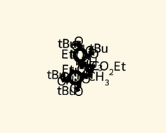 CCOC(=O)c1cc(N(C)C(=O)CN2CCN(CC)CCN(CC(=O)OC(C)(C)C)CCN(CC(=O)OC(C)(C)C)CC2)cc(N(C)C(=O)CN2CCN(CC)CCN(CC(=O)OC(C)(C)C)CCN(CC(=O)OC(C)(C)C)CC2)c1